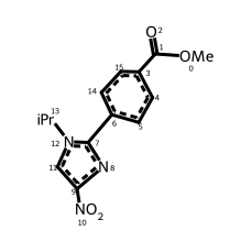 COC(=O)c1ccc(-c2nc([N+](=O)[O-])cn2C(C)C)cc1